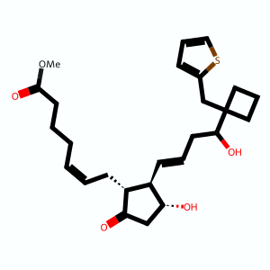 COC(=O)CCC/C=C\C[C@H]1C(=O)C[C@@H](O)[C@@H]1/C=C/CC(O)C1(Cc2cccs2)CCC1